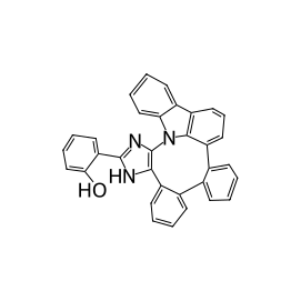 Oc1ccccc1-c1nc2c([nH]1)c1ccccc1c1ccccc1c1cccc3c4ccccc4n2c13